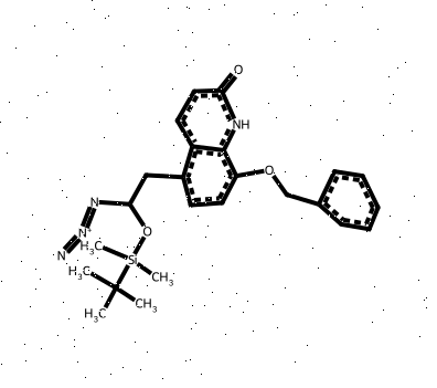 CC(C)(C)[Si](C)(C)OC(Cc1ccc(OCc2ccccc2)c2[nH]c(=O)ccc12)N=[N+]=[N-]